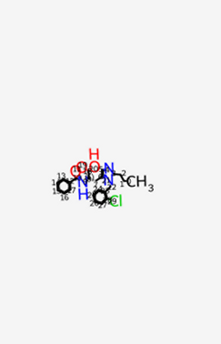 CCCc1ncc(C[C@H](NC(=O)c2ccccc2)C(=O)O)n1Cc1ccccc1Cl